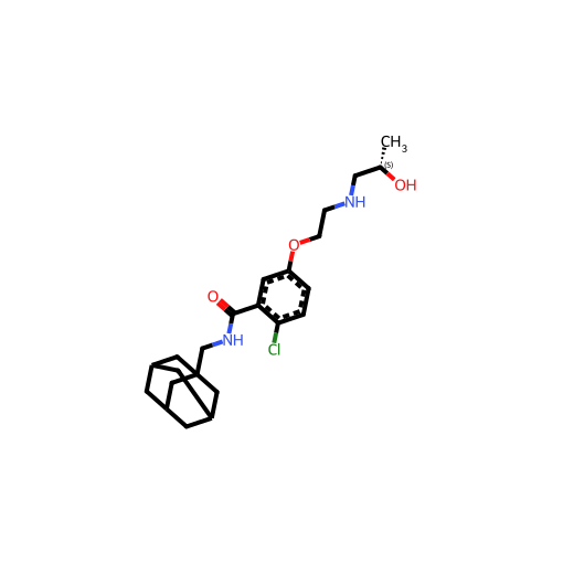 C[C@H](O)CNCCOc1ccc(Cl)c(C(=O)NCC23CC4CC(CC(C4)C2)C3)c1